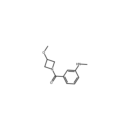 CNc1cccc(C(=O)N2CC(OC)C2)c1